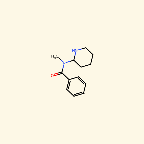 CN(C(=O)c1cc[c]cc1)C1CCCCN1